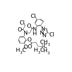 COc1cccc(N(CC(=O)Nc2cc(Cl)ccc2-n2cc(Cl)nn2)C(=O)CCl)c1OC(=O)CCC(C)(C)C